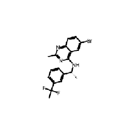 Cc1nc(N[C@H](C)c2cccc(C(C)(F)F)c2)c2cc(Br)ccc2n1